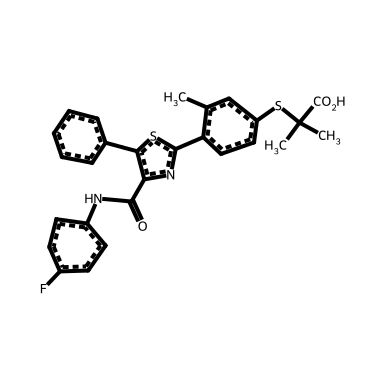 Cc1cc(SC(C)(C)C(=O)O)ccc1-c1nc(C(=O)Nc2ccc(F)cc2)c(-c2ccccc2)s1